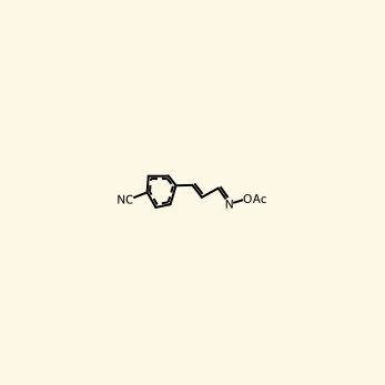 CC(=O)ON=CC=Cc1ccc(C#N)cc1